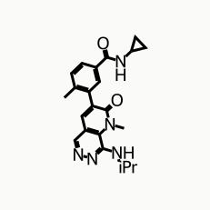 Cc1ccc(C(=O)NC2CC2)cc1-c1cc2cnnc(NC(C)C)c2n(C)c1=O